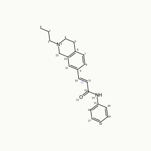 CCCN1CCc2ccc(/C=C/C(=O)Nc3ccccc3)cc2C1